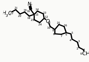 CCCCCCC1CCC(COC2CCC(C#N)(CCCCC)CC2)CC1